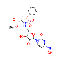 CC(C)OC(=O)[C@H](C)NP(=O)(OC[C@H]1O[C@@H](n2ccc(NO)nc2=O)[C@@H](O)[C@H]1O)Oc1ccccc1